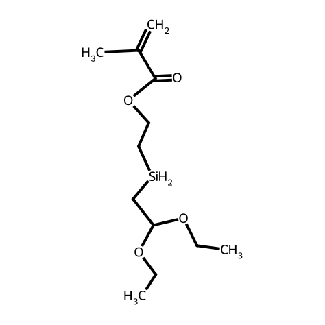 C=C(C)C(=O)OCC[SiH2]CC(OCC)OCC